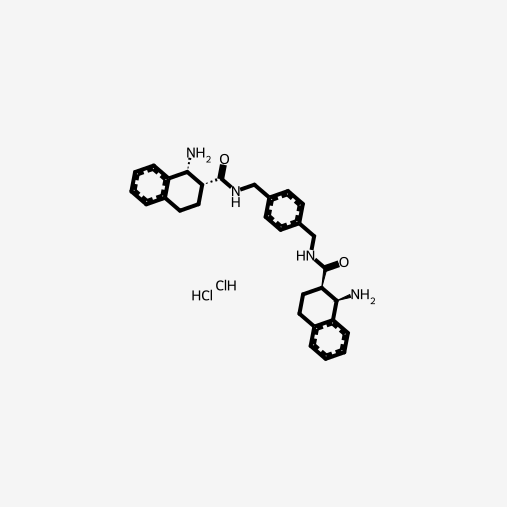 Cl.Cl.N[C@H]1c2ccccc2CC[C@H]1C(=O)NCc1ccc(CNC(=O)[C@@H]2CCc3ccccc3[C@@H]2N)cc1